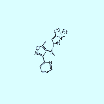 CCOC(=O)c1cc(N(C)c2c(-c3ccccn3)noc2C)nn1C